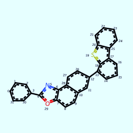 c1ccc(-c2nc3c(ccc4cc(-c5cccc6c5sc5ccccc56)ccc43)o2)cc1